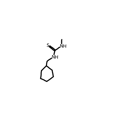 CNC(=S)NCC1CCCCC1